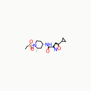 CCS(=O)(=O)N1CC[C@H](NC(=O)c2cc(C3CC3)on2)C[C@@H]1C